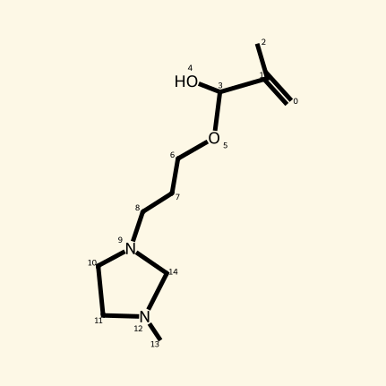 C=C(C)C(O)OCCCN1CCN(C)C1